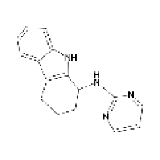 c1cnc(NC2CCCc3c2[nH]c2ccccc32)nc1